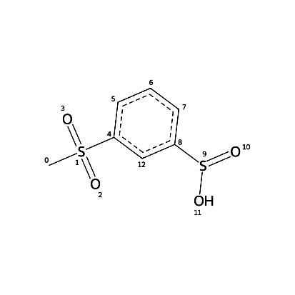 CS(=O)(=O)c1cccc(S(=O)O)c1